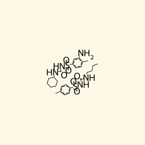 CCCCNC(=O)NS(=O)(=O)c1ccc(C)cc1.Cc1ccc(S(=O)(=O)NC(=O)NC2CCCCC2)cc1N